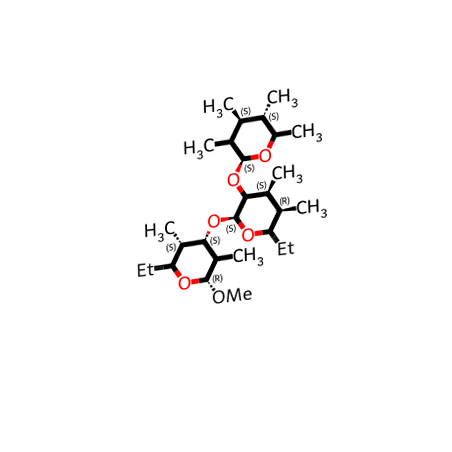 CCC1O[C@@H](O[C@@H]2C(C)[C@H](OC)OC(CC)[C@@H]2C)C(O[C@@H]2OC(C)[C@@H](C)[C@H](C)C2C)[C@@H](C)[C@H]1C